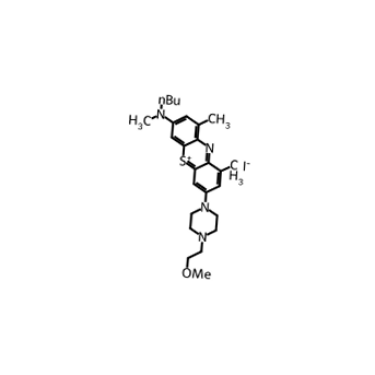 CCCCN(C)c1cc(C)c2nc3c(C)cc(N4CCN(CCOC)CC4)cc3[s+]c2c1.[I-]